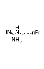 CCCCC[CH]NC(=N)N